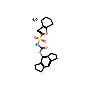 C[C@@H]1CCCc2oc(S(=O)(=O)NC(=O)Nc3c4c(cc5c3CCC5)CCC4)cc21